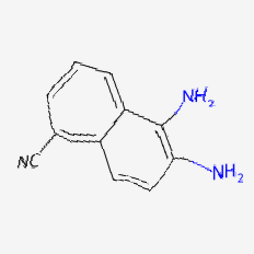 N#Cc1cccc2c(N)c(N)ccc12